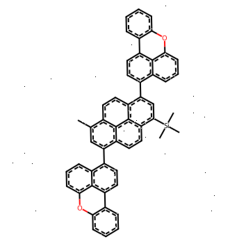 Cc1cc(-c2ccc3c4c(cccc24)Oc2ccccc2-3)c2ccc3c([Si](C)(C)C)cc(-c4ccc5c6c(cccc46)Oc4ccccc4-5)c4ccc1c2c43